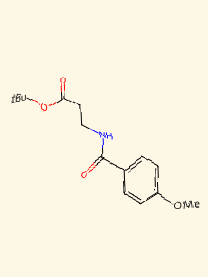 COc1ccc(C(=O)NCCC(=O)OC(C)(C)C)cc1